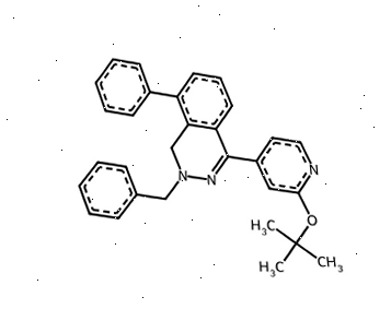 CC(C)(C)Oc1cc(C2=NN(Cc3ccccc3)Cc3c2cccc3-c2ccccc2)ccn1